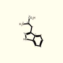 N[C@H](Cc1n[nH]c2ccccc12)C(=O)O